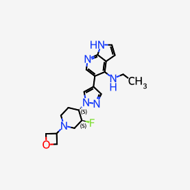 CCNc1c(-c2cnn([C@H]3CCN(C4COC4)C[C@@H]3F)c2)cnc2[nH]ccc12